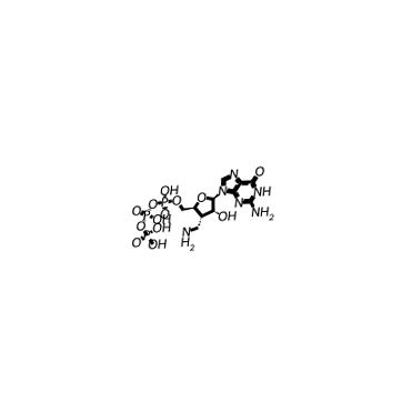 NC[C@H]1[C@@H](O)[C@H](n2cnc3c(=O)[nH]c(N)nc32)O[C@@H]1COP(=O)(O)OP(=O)(O)OP(=O)(O)O